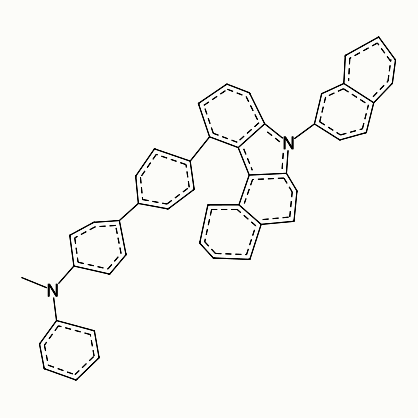 CN(c1ccccc1)c1ccc(-c2ccc(-c3cccc4c3c3c5ccccc5ccc3n4-c3ccc4ccccc4c3)cc2)cc1